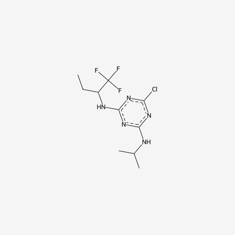 CCC(Nc1nc(Cl)nc(NC(C)C)n1)C(F)(F)F